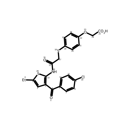 CCc1cc(C(=O)c2ccc(Cl)cc2)c(NC(=O)CSc2ccc(OCC(=O)O)cc2)s1